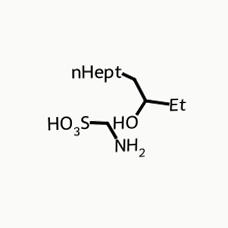 CCCCCCCCC(O)CC.NCS(=O)(=O)O